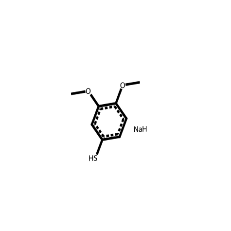 COc1ccc(S)cc1OC.[NaH]